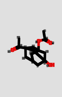 CC(=O)OC12CC3CC(O)(C1)CC(C(C)=O)(C3)C2